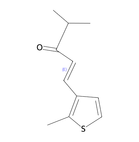 Cc1sccc1/C=C/C(=O)C(C)C